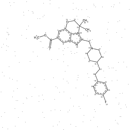 COC(=O)c1cc2c3c(c1)nc(CN1CCC(CCc4ccc(F)cc4)CC1)n3C(C)(C)CO2